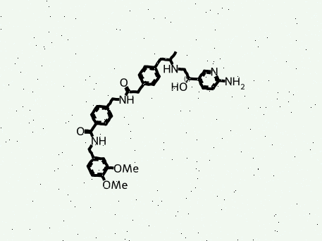 COc1ccc(CNC(=O)c2ccc(CNC(=O)Cc3ccc(CC(C)NC[C@@H](O)c4ccc(N)nc4)cc3)cc2)cc1OC